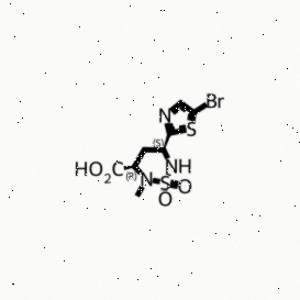 CN1[C@@H](C(=O)O)C[C@@H](c2ncc(Br)s2)NS1(=O)=O